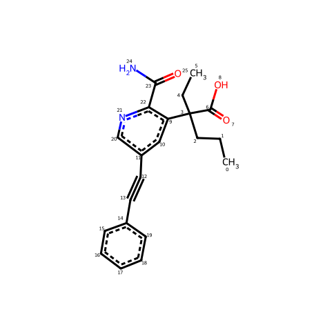 CCCC(CC)(C(=O)O)c1cc(C#Cc2ccccc2)cnc1C(N)=O